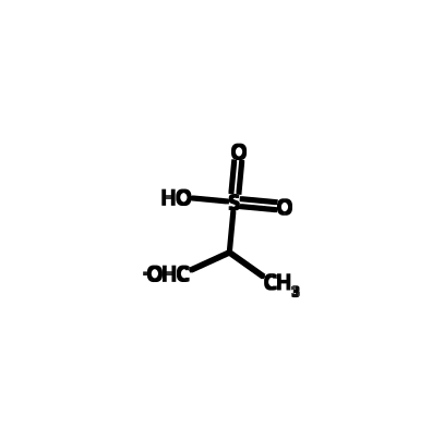 CC([C]=O)S(=O)(=O)O